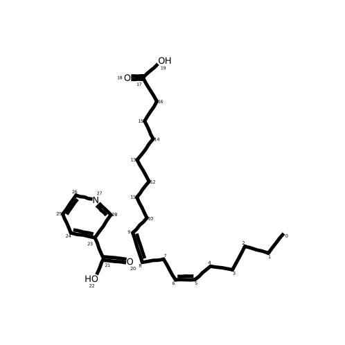 CCCCC/C=C\C/C=C\CCCCCCCC(=O)O.O=C(O)c1cccnc1